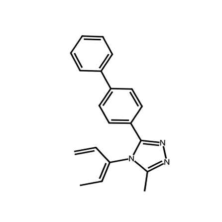 C=C/C(=C\C)n1c(C)nnc1-c1ccc(-c2ccccc2)cc1